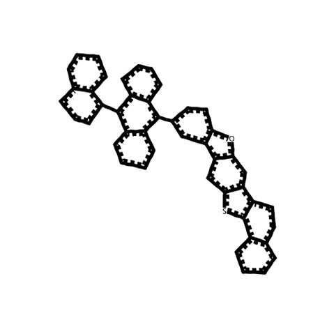 c1ccc2c(-c3c4ccccc4c(-c4ccc5oc6cc7c(cc6c5c4)sc4c5ccccc5ccc74)c4ccccc34)cccc2c1